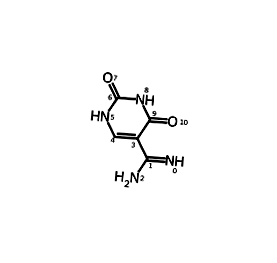 N=C(N)c1c[nH]c(=O)[nH]c1=O